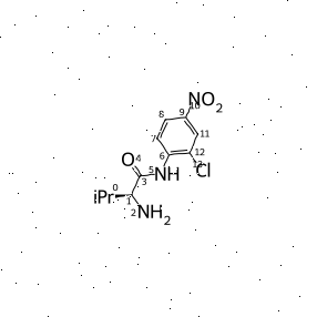 CC(C)[C@H](N)C(=O)Nc1ccc([N+](=O)[O-])cc1Cl